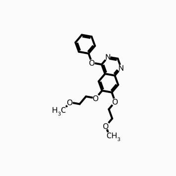 COCCOc1cc2ncnc(Oc3ccccc3)c2cc1OCCOC